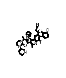 Cc1nc2c(F)c(-c3cccc(Cl)c3Cl)c(CCC#N)cc2c2c1cc(C(C)N1CCCN(c3cccnc3)C1=O)n2C1C2CNC1C2